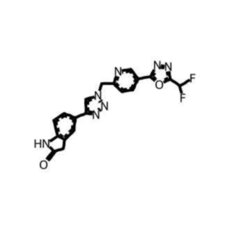 O=C1Cc2cc(-c3cn(Cc4ccc(-c5nnc(C(F)F)o5)cn4)nn3)ccc2N1